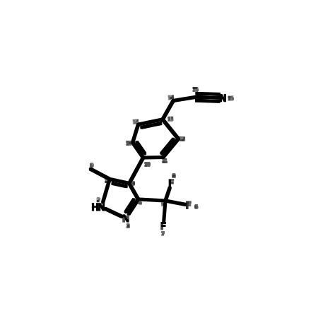 Cc1[nH]nc(C(F)(F)F)c1-c1ccc(CC#N)cc1